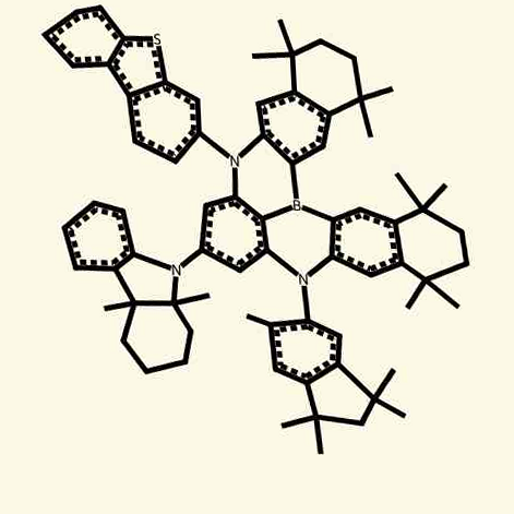 Cc1cc2c(cc1N1c3cc4c(cc3B3c5cc6c(cc5N(c5ccc7c(c5)sc5ccccc57)c5cc(N7c8ccccc8C8(C)CCCCC78C)cc1c53)C(C)(C)CCC6(C)C)C(C)(C)CCC4(C)C)C(C)(C)CC2(C)C